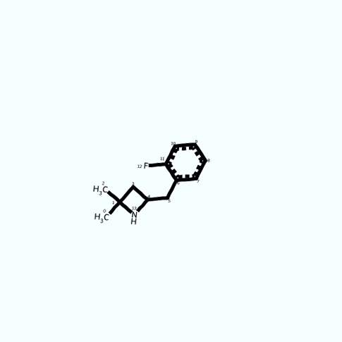 CC1(C)CC(Cc2ccccc2F)N1